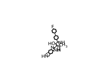 CN/C(=C(/O)C(=N)c1ccc(-c2ccc(F)cc2)cc1)c1nc2cc3c(cc2[nH]1)CNC3